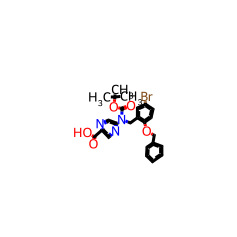 CC(C)(C)OC(=O)N(Cc1cc(Br)ccc1OCc1ccccc1)c1cnc(C(=O)O)cn1